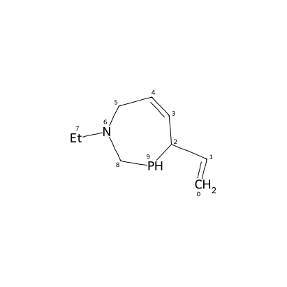 C=CC1C=CCN(CC)CP1